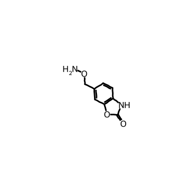 NOCc1ccc2[nH]c(=O)oc2c1